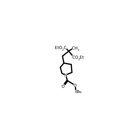 CCOC(=O)C(C)(CC1CCN(C(=O)OC(C)(C)C)CC1)C(=O)OCC